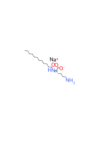 CCCCCCCCCCCC(=O)N[C@@H](CCCCN)C(=O)[O-].[Na+]